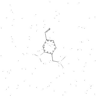 C=Cc1ccc(CN(C)C)c(B(O)O)c1